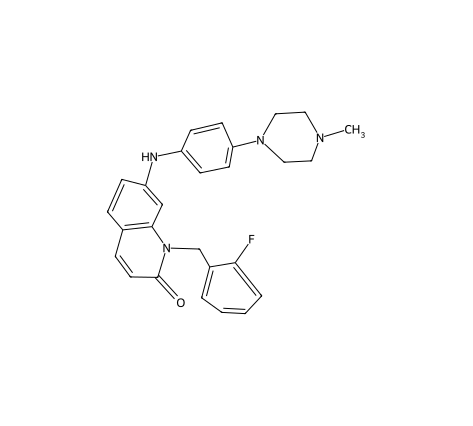 CN1CCN(c2ccc(Nc3ccc4ccc(=O)n(Cc5ccccc5F)c4c3)cc2)CC1